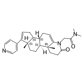 CN(C)C(=O)CN1C(=O)CC[C@@]2(C)C1=CC[C@@H]1[C@@H]2CC[C@]2(C)C(c3ccncc3)=CC[C@@H]12